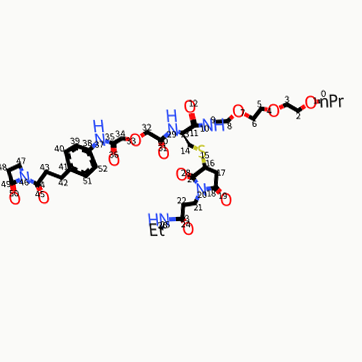 CCCOCCOCCOCCNC(=O)[C@@H](CSC1CC(=O)N(CCC(=O)NCC)C1=O)NC(=O)COCC(=O)Nc1ccc(CCC(=O)N2CCC2=O)cc1